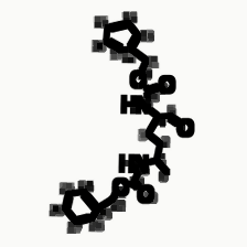 CC(CCC(C=O)NC(=O)OCc1ccccc1)NC(=O)OCc1ccccc1